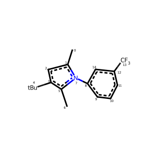 Cc1cc(C(C)(C)C)c(C)n1-c1cccc(C(F)(F)F)c1